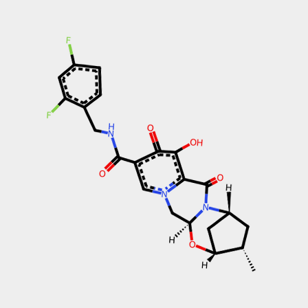 C[C@H]1C[C@@H]2C[C@H]1O[C@H]1Cn3cc(C(=O)NCc4ccc(F)cc4F)c(=O)c(O)c3C(=O)N21